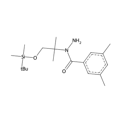 Cc1cc(C)cc(C(=O)N(N)C(C)(C)CO[Si](C)(C)C(C)(C)C)c1